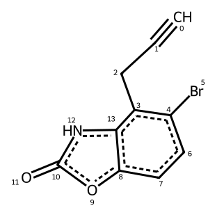 C#CCc1c(Br)ccc2oc(=O)[nH]c12